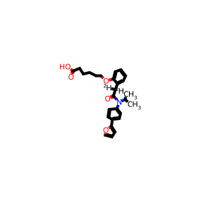 [2H]C([2H])(C(=O)N(c1ccc(-c2ccco2)cc1)C(C)C)c1ccccc1OCCCCCC(=O)O